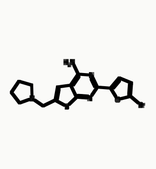 Nc1nc(-c2ccc(Br)o2)nc2sc(CN3CCCC3)cc12